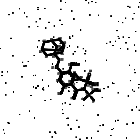 COc1cc(C(=O)N([Si](C)(C)C(C)(C)C)S(=N)(=O)C2CC2)c(F)cc1OCC12CC3CC(CC(C3)C1)C2